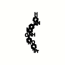 CC(C)N1CCC(Oc2cc(C(=O)Nc3cc4cc(-c5cnc6n5CCNC6)ccc4nn3)ccn2)CC1